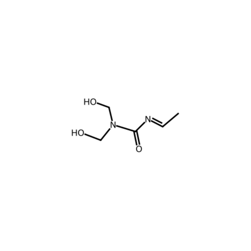 CC=NC(=O)N(CO)CO